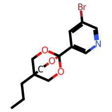 CCCC12COC(c3cncc(Br)c3)(OC1)OC2